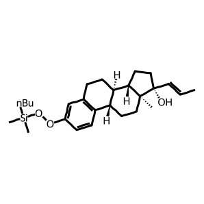 CC=C[C@]1(O)CC[C@H]2[C@@H]3CCc4cc(OO[Si](C)(C)CCCC)ccc4[C@H]3CC[C@@]21C